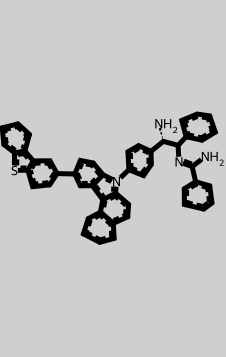 N/C(=N\C(c1ccccc1)[C@@H](N)c1ccc(-n2c3ccc(-c4ccc5sc6ccccc6c5c4)cc3c3c4ccccc4ccc32)cc1)c1ccccc1